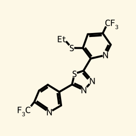 CCSc1cc(C(F)(F)F)cnc1-c1nnc(-c2ccc(C(F)(F)F)nc2)s1